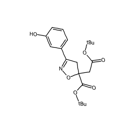 CC(C)(C)OC(=O)CC1(C(=O)OC(C)(C)C)CC(c2cccc(O)c2)=NO1